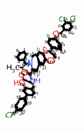 CC[C@@H](c1ccccc1)N1Cc2cc3c(cc2C[C@H]1C(=O)N[C@@H](Cc1ccc(-c2ccc(Cl)cc2)cc1)C(=O)O)OC[C@H](c1ccc(OCc2ccc(Cl)c(Cl)c2)cc1)O3